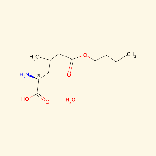 CCCCOC(=O)CC(C)C[C@H](N)C(=O)O.O